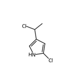 CC(Cl)c1c[nH]c(Cl)c1